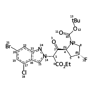 CCOC(=O)C(C(=O)[C@@H]1C[C@@H](F)CN1C(=O)OC(C)(C)C)n1cc2c(Cl)cc(Br)cc2n1